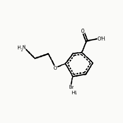 I.NCCOc1cc(C(=O)O)ccc1Br